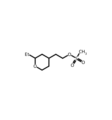 CCC1CC(CCOS(C)(=O)=O)CCO1